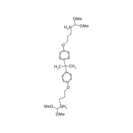 COC(OC)[SiH2]CCCOc1ccc(C(C)(C)c2ccc(OCCC[SiH2]C(OC)OC)cc2)cc1